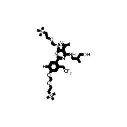 CC(CO)CNc1nc(-c2cc(F)c(OCOCC[Si](C)(C)C)cc2CC(F)(F)F)nc2c1c(I)nn2COCC[Si](C)(C)C